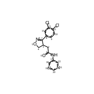 O=C(CC1CON=C1c1ccc(Cl)c(Cl)c1)Nc1cncnc1